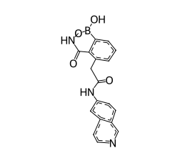 O=C(Cc1cccc2c1C(=O)NOB2O)Nc1ccc2cnccc2c1